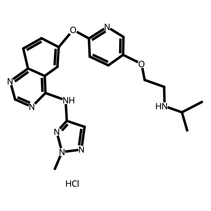 CC(C)NCCOc1ccc(Oc2ccc3ncnc(Nc4cnn(C)n4)c3c2)nc1.Cl